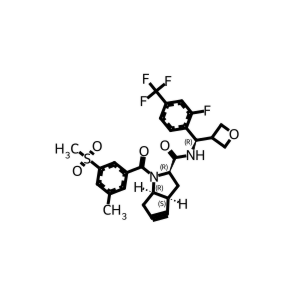 Cc1cc(C(=O)N2[C@@H](C(=O)N[C@@H](c3ccc(C(F)(F)F)cc3F)C3COC3)C[C@H]3C#CC[C@H]32)cc(S(C)(=O)=O)c1